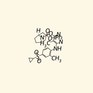 Cc1cc(S(=O)(=O)C2CC2)ccc1Nc1ncnc(O[C@H]2CC3CC[C@@H](C2)N3C(=O)OC(C)C)c1C